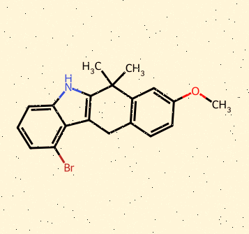 COc1ccc2c(c1)C(C)(C)c1[nH]c3cccc(Br)c3c1C2